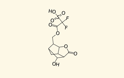 O=C1OC2C(COC(=O)C(F)(F)S(=O)(=O)O)C3CC2C1C3O